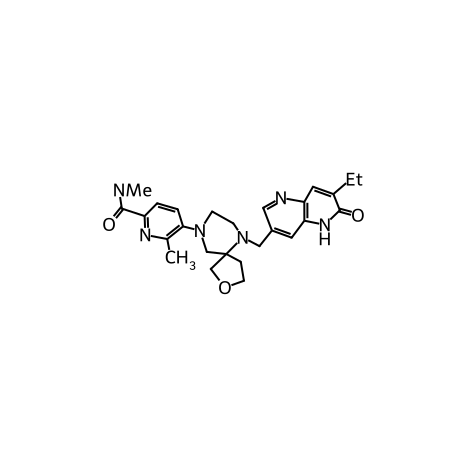 CCc1cc2ncc(CN3CCN(c4ccc(C(=O)NC)nc4C)CC34CCOC4)cc2[nH]c1=O